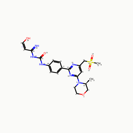 C[C@H]1COCCN1c1cc(CS(C)(=O)=O)nc(-c2ccc(NC(=O)NC(=N)/C=C\O)cc2)n1